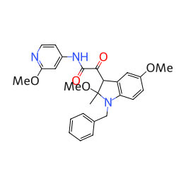 COc1ccc2c(c1)C(C(=O)C(=O)Nc1ccnc(OC)c1)C(C)(OC)N2Cc1ccccc1